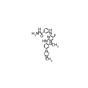 COc1cc(N2CCN(C)CC2)ccc1Nc1ncc(F)c(Nc2cccc(C(=O)NN)c2)n1